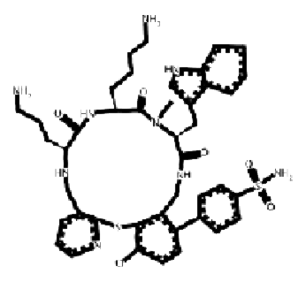 CN1C(=O)[C@H](CCCCN)NC(=O)[C@H](CCCN)NCc2cccnc2Sc2c(Cl)ccc(-c3ccc(S(N)(=O)=O)cc3)c2CNC(=O)[C@@H]1Cc1c[nH]c2ccccc12